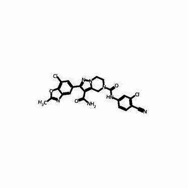 Cc1nc2cc(-c3nn4c(c3C(N)=O)CN(C(=O)Nc3ccc(C#N)c(Cl)c3)CC4)cc(Cl)c2o1